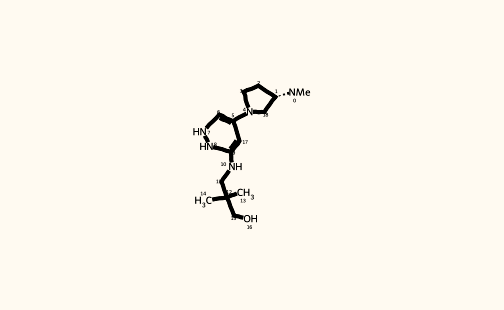 CN[C@H]1CCN(C2=CNNC(NCC(C)(C)CO)=C2)C1